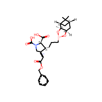 CC1(C)[C@@H]2C[C@H]3OB(CCC[C@@H]4/C(=C/C(=O)OCc5ccccc5)CN(C(=O)O)[C@H]4C(=O)O)O[C@@]3(C)[C@H]1C2